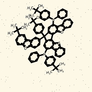 CC(C)(C)c1ccc(N(c2ccccc2)c2cc3c(c4oc5ccccc5c24)-c2c(cc(N(c4ccccc4)c4ccc(C(C)(C)C)cc4)c4c2sc2ccccc24)C3(c2ccc(C(C)(C)C)cc2)c2ccc3oc4ccc(C(C)(C)C)cc4c3c2)cc1